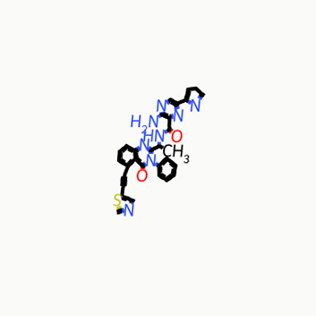 CC(NC(=O)c1nc(C2=CCC=N2)cnc1N)c1nc2cccc(C#Cc3cncs3)c2c(=O)n1-c1ccccc1